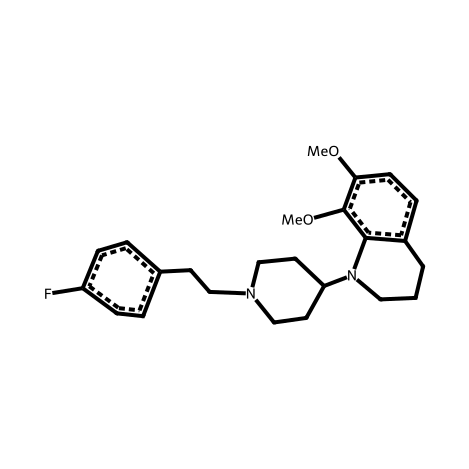 COc1ccc2c(c1OC)N(C1CCN(CCc3ccc(F)cc3)CC1)CCC2